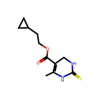 CC1=C(C(=O)OCCC2CC2)CNC(=S)N1